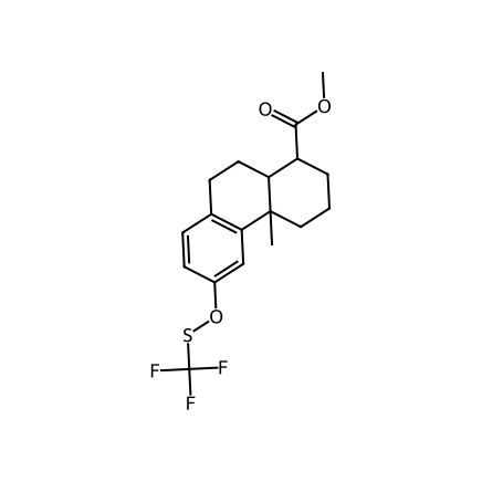 COC(=O)C1CCCC2(C)c3cc(OSC(F)(F)F)ccc3CCC12